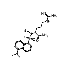 CCCCN([C@@H](CCCNC(=N)N)C(N)=O)S(=O)(=O)c1cccc2c(N(C)C)cccc12